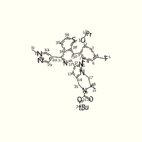 CC(C)Oc1cc(F)cc(F)c1-c1c(-c2cc3n(n2)C[C@@H](C)N(C(=O)OC(C)(C)C)C3)nc(-c2cnn(C)c2)c2ccsc12